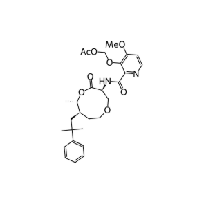 COc1ccnc(C(=O)N[C@H]2COCC[C@@H](CC(C)(C)c3ccccc3)[C@H](C)OC2=O)c1OCOC(C)=O